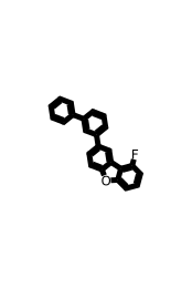 Fc1cccc2oc3ccc(-c4cccc(-c5ccccc5)c4)cc3c12